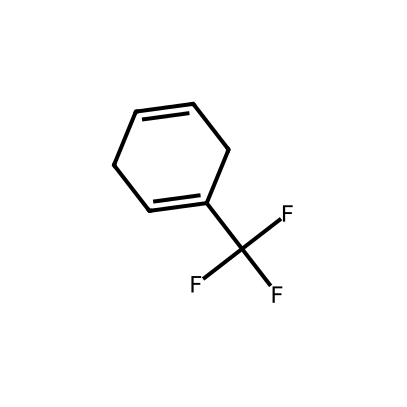 FC(F)(F)C1=CCC=CC1